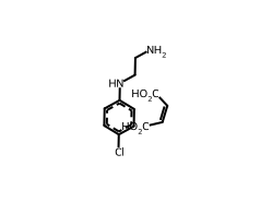 NCCNc1ccc(Cl)cc1.O=C(O)/C=C\C(=O)O